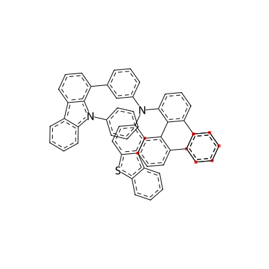 c1ccc(-c2ccccc2-c2c(-c3ccccc3)cccc2N(c2cccc(-c3cccc4c5ccccc5n(-c5ccccc5)c34)c2)c2ccc3sc4ccccc4c3c2)cc1